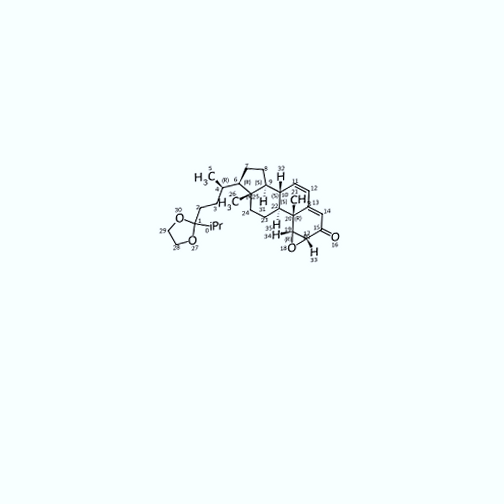 CC(C)C1(CC[C@@H](C)[C@H]2CC[C@H]3[C@@H]4C=CC5=CC(=O)[C@@H]6O[C@@H]6[C@]5(C)[C@H]4CC[C@]23C)OCCO1